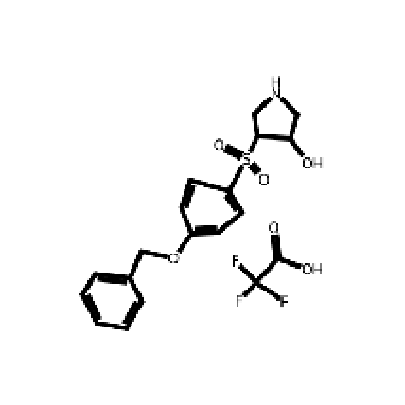 O=C(O)C(F)(F)F.O=S(=O)(c1ccc(OCc2ccccc2)cc1)C1CNCC1O